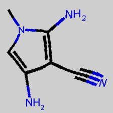 Cn1cc(N)c(C#N)c1N